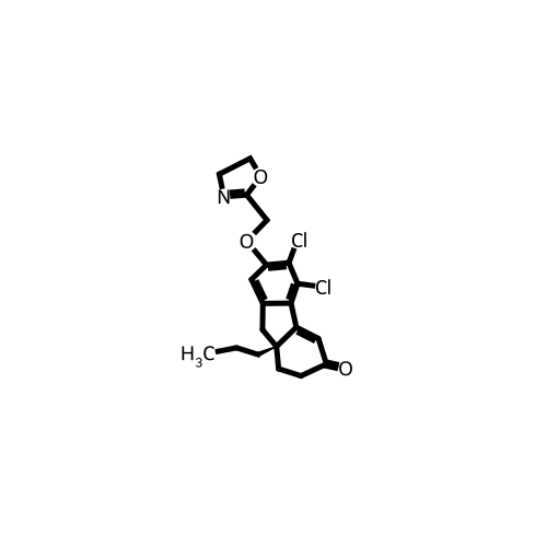 CCC[C@]12CCC(=O)C=C1c1c(cc(OCC3=NCCO3)c(Cl)c1Cl)C2